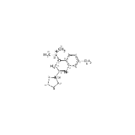 CC(=Nc1cc(C)ccc1O[SiH](C)C)N1CCCC1